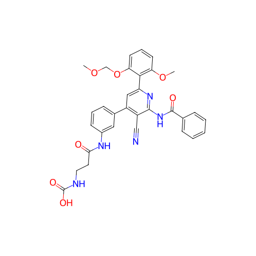 COCOc1cccc(OC)c1-c1cc(-c2cccc(NC(=O)CCNC(=O)O)c2)c(C#N)c(NC(=O)c2ccccc2)n1